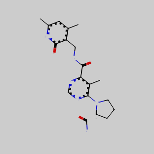 Cc1cc(C)c(CNC(=O)c2ncnc(N3CCC[C@@H]3C(N)=O)c2C)c(=O)[nH]1